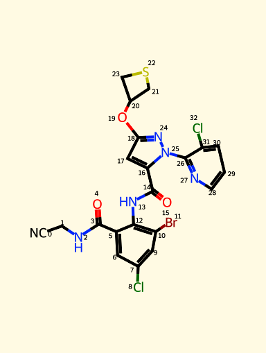 N#CCNC(=O)c1cc(Cl)cc(Br)c1NC(=O)c1cc(OC2CSC2)nn1-c1ncccc1Cl